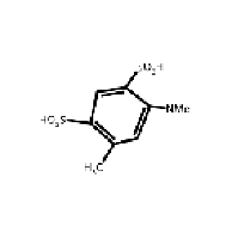 C[N]c1cc(C)c(S(=O)(=O)O)cc1S(=O)(=O)O